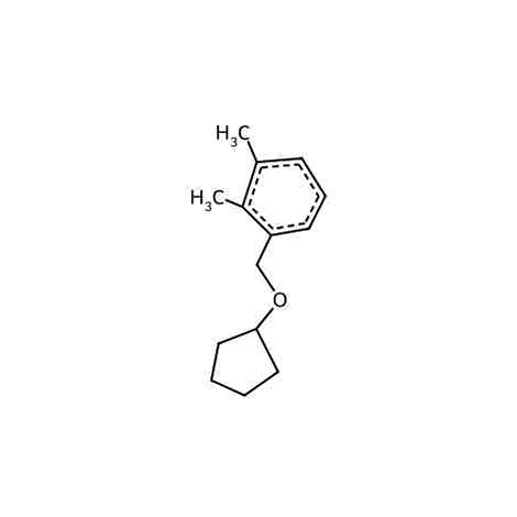 Cc1cccc(COC2CCCC2)c1C